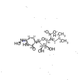 CC(C)CN(C(=O)O)[C@@H]1O[C@@H](n2cc/c(=N/O)[nH]c2=O)[C@H](O)[C@@H]1O